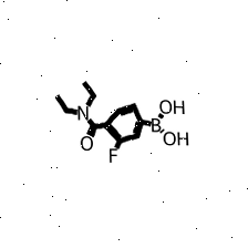 CCN(CC)C(=O)c1ccc(B(O)O)cc1F